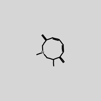 C=C1/C=C\C=C/C(=C)C(C)CN(C)C1